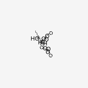 CCCCC[C@H](O)CC[C@@H]1[C@H]2Cc3cccc(OCC(=O)OCc4ccccc4)c3C[C@H]2C[C@H]1OC(=O)COCc1ccccc1